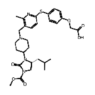 COC(=O)N1C[C@@H](CC(C)C)N(C2CCN(Cc3ccc(Sc4ccc(OCC(=O)O)cc4)nc3C)CC2)C1=O